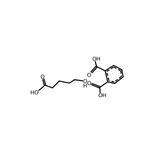 O=C(O)CCCCO.O=C(O)c1ccccc1C(=O)O